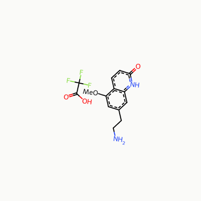 COc1cc(CCN)cc2[nH]c(=O)ccc12.O=C(O)C(F)(F)F